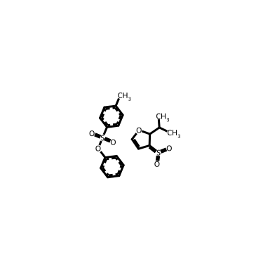 CC(C)C1OC=CC1=S(=O)=O.Cc1ccc(S(=O)(=O)Oc2ccccc2)cc1